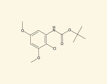 COc1cc(NC(=O)OC(C)(C)C)c(Cl)c(OC)c1